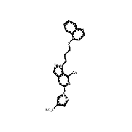 O=C(O)c1cnn(-c2nc(O)c3c(cnn3CCCOc3cccc4ccccc34)n2)c1